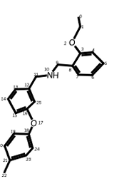 CCOc1ccccc1CNCc1cccc(Oc2ccc(C)cc2)c1